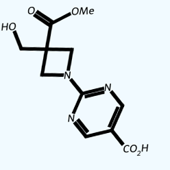 COC(=O)C1(CO)CN(c2ncc(C(=O)O)cn2)C1